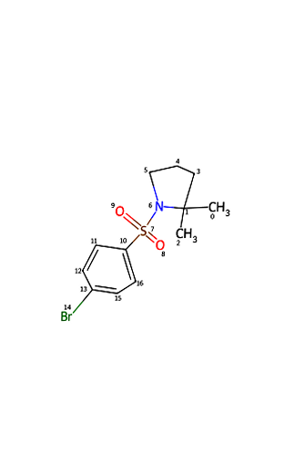 CC1(C)CCCN1S(=O)(=O)c1ccc(Br)cc1